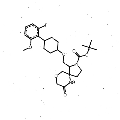 COc1cccc(F)c1C1CCC(OCC2N(C(=O)OC(C)(C)C)CCC23COCC(=O)N3)CC1